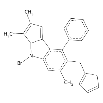 CC1=C(C)C2C(=C1)c1c(cc(C)c(CC3=CC=CC3)c1-c1ccccc1)N2Br